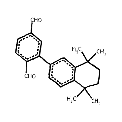 CC1(C)CCC(C)(C)c2cc(-c3cc(C=O)ccc3C=O)ccc21